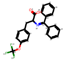 O=C(O)C(Cc1ccc(OC(F)(F)F)cc1)N=C(c1ccccc1)c1ccccc1